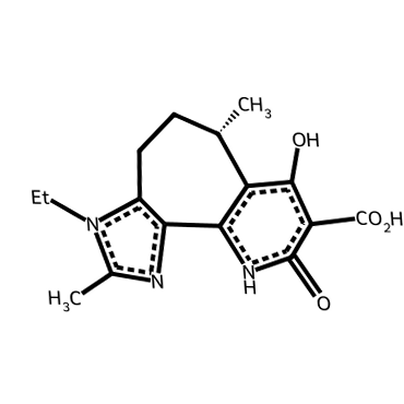 CCn1c(C)nc2c1CC[C@H](C)c1c-2[nH]c(=O)c(C(=O)O)c1O